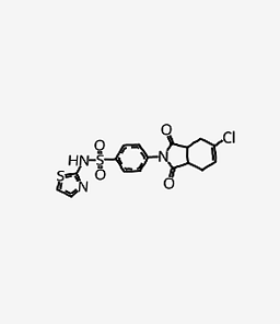 O=C1C2CC=C(Cl)CC2C(=O)N1c1ccc(S(=O)(=O)Nc2nccs2)cc1